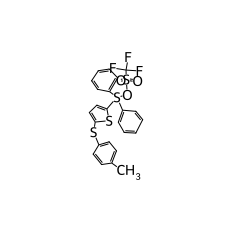 Cc1ccc(Sc2ccc(S(OS(=O)(=O)C(F)(F)F)(c3ccccc3)c3ccccc3)s2)cc1